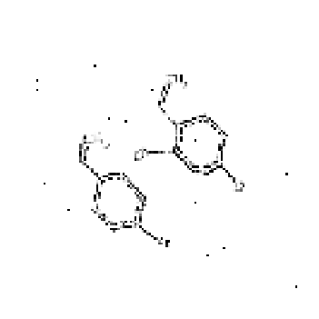 C=Cc1ccc(CC)cc1.C=Cc1ccc(Cl)cc1Cl